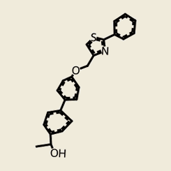 CC(O)c1ccc(-c2ccc(OCc3csc(-c4ccccc4)n3)cc2)cc1